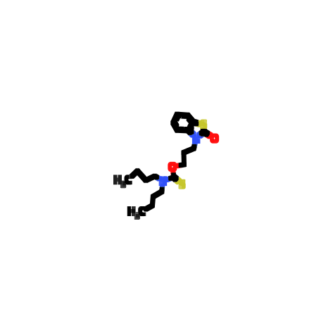 CCCCN(CCCC)C(=S)OCCCn1c(=O)sc2ccccc21